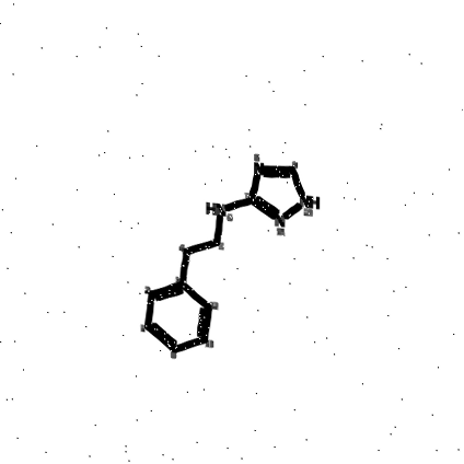 c1ccc(CCNc2nc[nH]n2)cc1